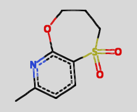 Cc1ccc2c(n1)OCCCS2(=O)=O